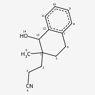 CC1(CCC#N)CCc2ccccc2C1O